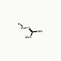 CCN/N=C(/NC)OC